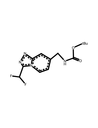 CC(C)(C)OC(=O)NCc1ccn2c(C(F)F)nnc2c1